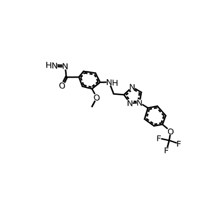 COc1cc(C(=O)N=N)ccc1NCc1ncn(-c2ccc(OC(F)(F)F)cc2)n1